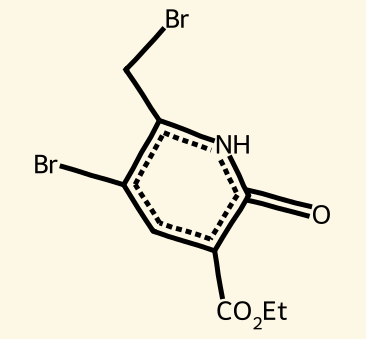 CCOC(=O)c1cc(Br)c(CBr)[nH]c1=O